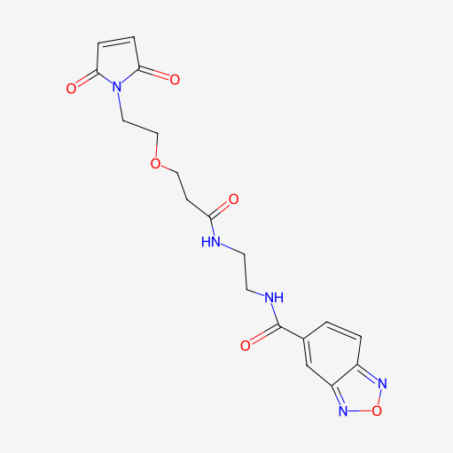 O=C(CCOCCN1C(=O)C=CC1=O)NCCNC(=O)c1ccc2nonc2c1